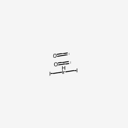 [C]=O.[C]=O.[I][IrH][I]